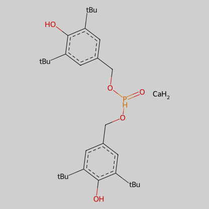 CC(C)(C)c1cc(CO[PH](=O)OCc2cc(C(C)(C)C)c(O)c(C(C)(C)C)c2)cc(C(C)(C)C)c1O.[CaH2]